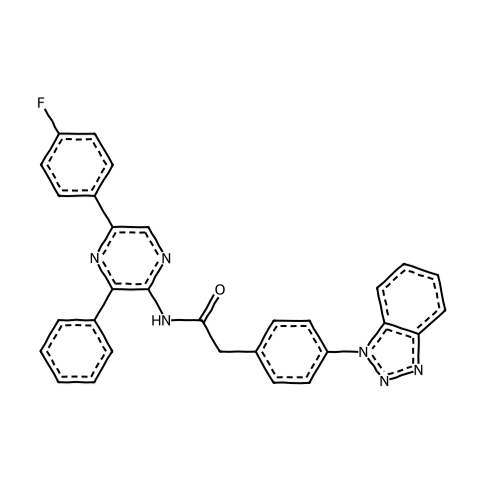 O=C(Cc1ccc(-n2nnc3ccccc32)cc1)Nc1ncc(-c2ccc(F)cc2)nc1-c1ccccc1